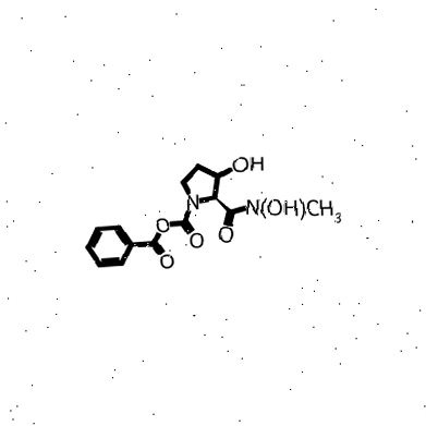 CN(O)C(=O)[C@@H]1C(O)CCN1C(=O)OC(=O)c1ccccc1